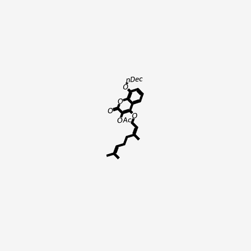 CCCCCCCCCCOc1cccc2c(OCC=C(C)CCC=C(C)C)c(OC(C)=O)c(=O)oc12